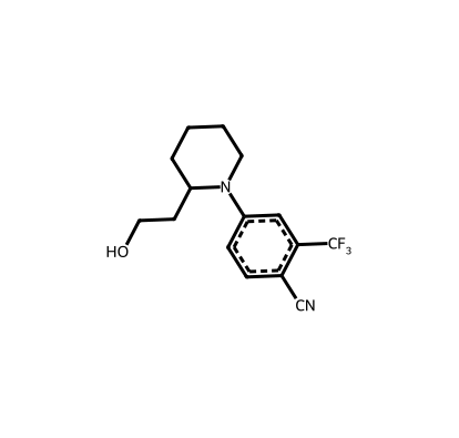 N#Cc1ccc(N2CCCCC2CCO)cc1C(F)(F)F